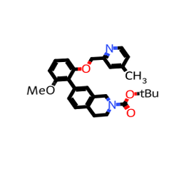 COc1cccc(OCc2cc(C)ccn2)c1-c1ccc2c(c1)CN(C(=O)OC(C)(C)C)CC2